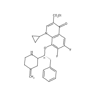 C=C1CCNC([C@@H](Cc2ccccc2)Oc2c(F)c(F)cc3c(=O)c(C(=O)OCC)cn(C4CC4)c23)C1